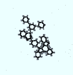 c1ccc(-c2cc(-c3ccccc3)cc(-c3nc(-c4ccc(-n5c6ccccc6c6c7ccccc7c7sc8ccccc8c7c65)cc4)nc4ccccc34)c2)cc1